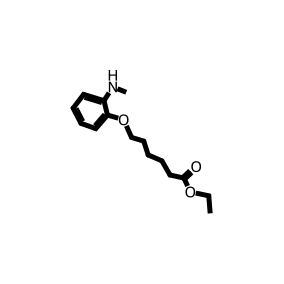 CCOC(=O)CCCCCOc1ccccc1NC